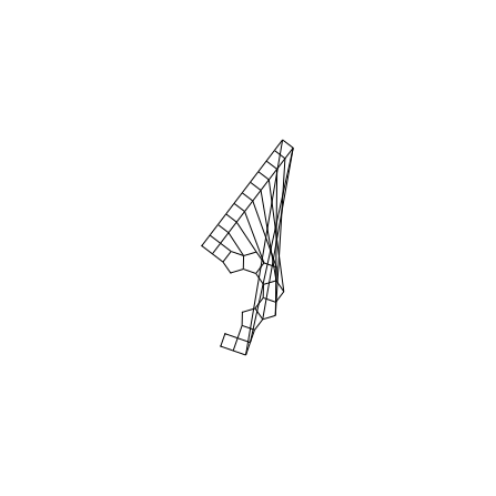 C1CC23C1C1C4C5C6C7C8C9C%10C%11C%12C%13CC%14C%15CC%16C%17C%18C%19C%20CC2C2C%20%21C%20C%19%22C%19C%18%23C%18C%17%24C%17C%16%25C%15C%14%13C%12%25C%11%17C%10%24C9%18C8%23C7%19C6%22C5%20C4%21C123